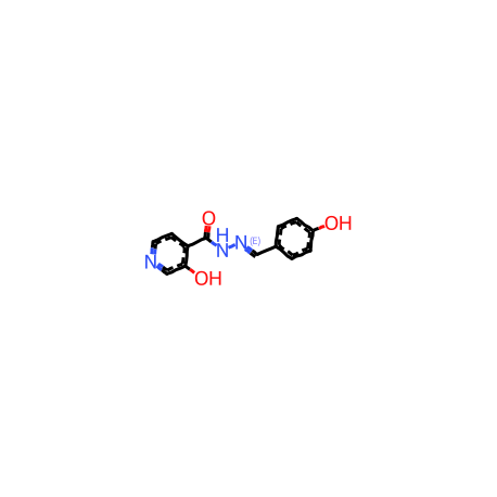 O=C(N/N=C/c1ccc(O)cc1)c1ccncc1O